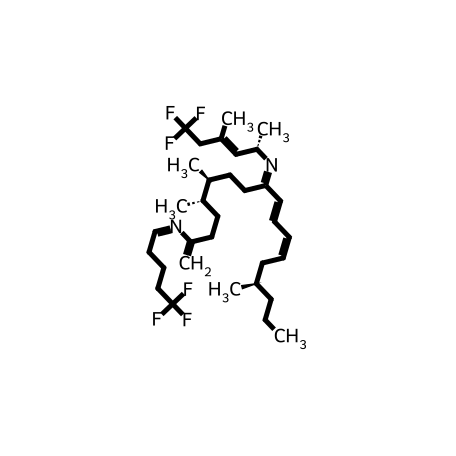 C=C(CC[C@H](C)[C@@H](C)CCC(/C=C/C=C\C[C@H](C)CCC)=N\[C@@H](C)/C=C(\C)CC(F)(F)F)/N=C\CCCC(F)(F)F